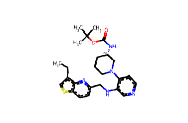 CCc1csc2ccc(CNc3cnccc3N3CCC[C@H](NC(=O)OC(C)(C)C)C3)nc12